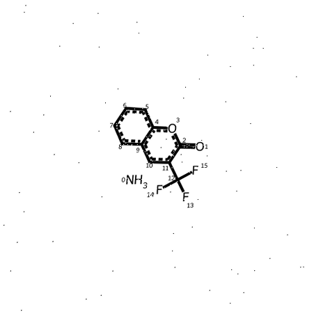 N.O=c1oc2ccccc2cc1C(F)(F)F